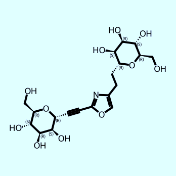 OC[C@H]1O[C@H](CCc2coc(C#C[C@H]3O[C@H](CO)[C@@H](O)[C@H](O)[C@@H]3O)n2)[C@@H](O)[C@@H](O)[C@@H]1O